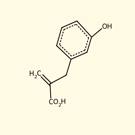 C=C(Cc1cccc(O)c1)C(=O)O